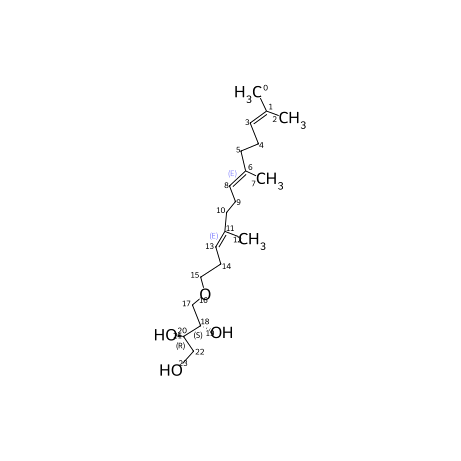 CC(C)=CCC/C(C)=C/CC/C(C)=C/CCOC[C@H](O)[C@H](O)CO